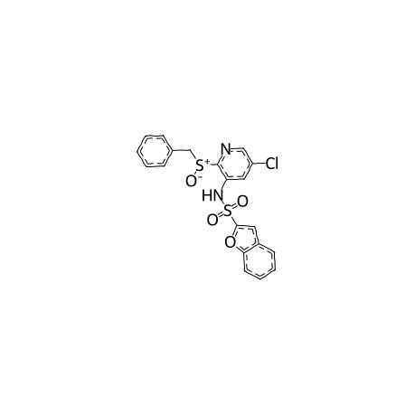 O=S(=O)(Nc1cc(Cl)cnc1[S+]([O-])Cc1ccccc1)c1cc2ccccc2o1